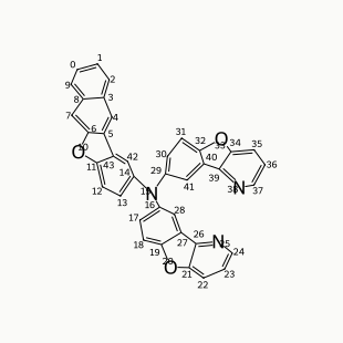 c1ccc2cc3c(cc2c1)oc1ccc(N(c2ccc4oc5cccnc5c4c2)c2ccc4oc5cccnc5c4c2)cc13